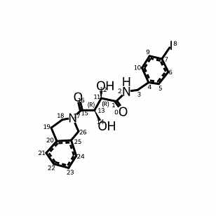 O=C(NCc1ccc(I)cc1)[C@H](O)[C@@H](O)C(=O)N1CCc2ccccc2C1